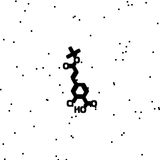 CC(C)(C)OC(=O)C=Cc1ccc(C(=O)O)c(Cl)c1